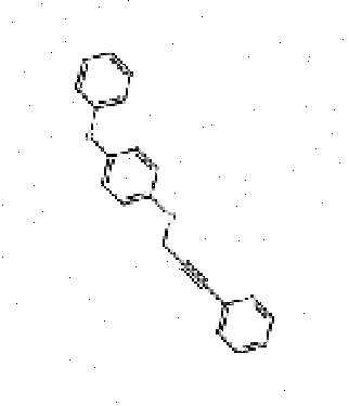 C(#Cc1ccccn1)COc1ccc(Oc2ccccc2)cc1